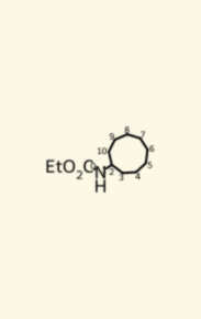 CCOC(=O)NC1CCCCCCCC1